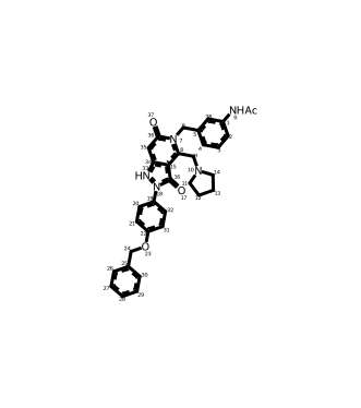 CC(=O)Nc1cccc(Cn2c(CN3CCCC3)c3c(=O)n(-c4ccc(OCc5ccccc5)cc4)[nH]c3cc2=O)c1